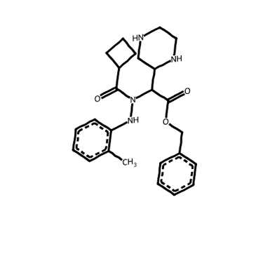 Cc1ccccc1NN(C(=O)C1CCC1)C(C(=O)OCc1ccccc1)C1CNCCN1